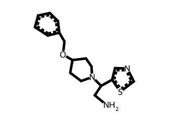 NCC(c1cncs1)N1CCC(OCc2ccccc2)CC1